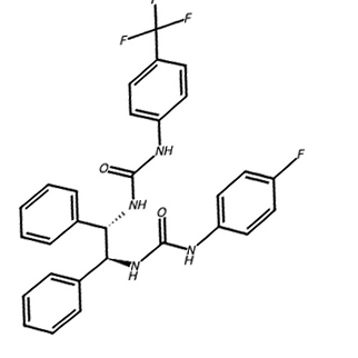 O=C(Nc1ccc(F)cc1)N[C@@H](c1ccccc1)[C@@H](NC(=O)Nc1ccc(C(F)(F)F)cc1)c1ccccc1